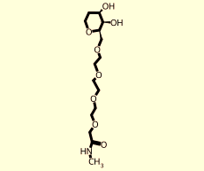 CNC(=O)COCCOCCOCCOC[C@H]1OCC[C@@H](O)[C@H]1O